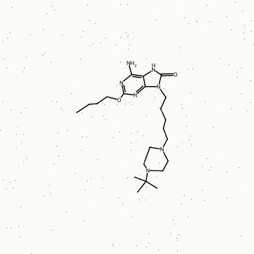 CCCCOc1nc(N)c2[nH]c(=O)n(CCCCCN3CCN(C(C)(C)C)CC3)c2n1